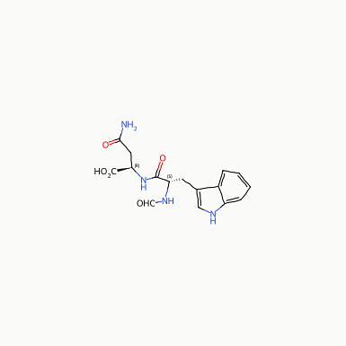 NC(=O)C[C@@H](NC(=O)[C@H](Cc1c[nH]c2ccccc12)NC=O)C(=O)O